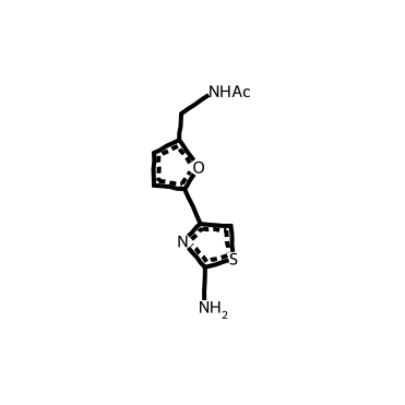 CC(=O)NCc1ccc(-c2csc(N)n2)o1